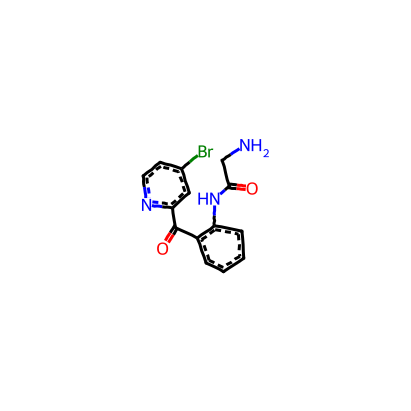 NCC(=O)Nc1ccccc1C(=O)c1cc(Br)ccn1